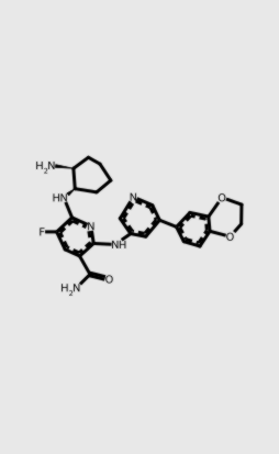 NC(=O)c1cc(F)c(N[C@@H]2CCCC[C@@H]2N)nc1Nc1cncc(-c2ccc3c(c2)OCCO3)c1